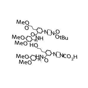 COC(=O)CCc1ccc(N2CCN(C(=O)OC(C)(C)C)CC2)cc1C(=O)N[C@H](C)c1ccc(OC)c(OC)c1.COc1ccc([C@@H](C)NC(=O)c2cc(N3CCN(C(=O)O)CC3)ccc2CCCO)cc1OC